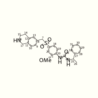 COc1cc(S(=O)(=O)Cc2ccc3c(c2)CCNC3)ccc1NC(=O)NC(C)c1ccccc1